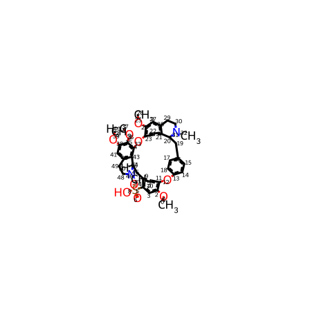 COc1cc(S(=O)(=O)O)c2cc1Oc1ccc(cc1)CC1c3cc(c(OC)cc3CCN1C)Oc1c(OC)c(OC)cc3c1[C@H](C2)N(C)CC3